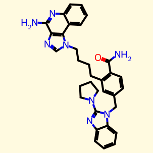 NC(=O)c1ccc(Cn2c(N3CCCC3)nc3ccccc32)cc1CCCCn1cnc2c(N)nc3ccccc3c21